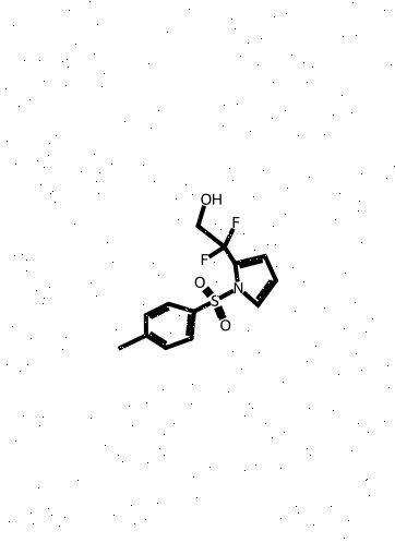 Cc1ccc(S(=O)(=O)n2cccc2C(F)(F)CO)cc1